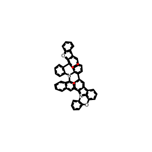 c1ccc2c(c1)Oc1cccc3c4cc(-c5ccccc5N(c5ccccc5-c5cccc6c5oc5ccccc56)c5cccc6ccccc56)ccc4n-2c13